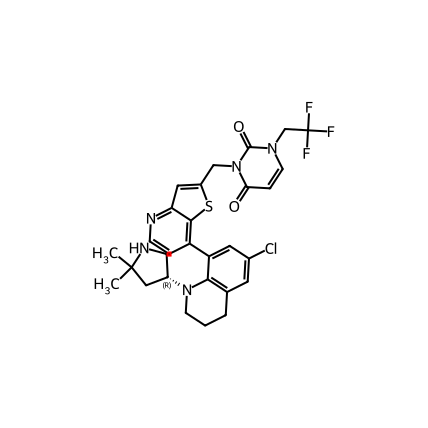 CC1(C)C[C@@H](N2CCCc3cc(Cl)cc(-c4ccnc5cc(Cn6c(=O)ccn(CC(F)(F)F)c6=O)sc45)c32)CN1